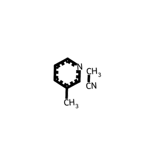 CC#N.Cc1cccnc1